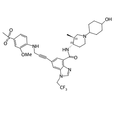 COc1cc(S(C)(=O)=O)ccc1NCC#Cc1cc(C(=O)N[C@H]2CCN(C3CCC(O)CC3)C[C@@H]2C)c2ncn(CC(F)(F)F)c2c1